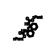 CCCCCOC(=O)NC1(CC2(NC(=O)OCCCCC)CCCCC2)CCCCC1